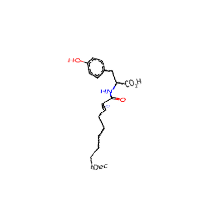 CCCCCCCCCCCCCCC/C=C/C(=O)NC(Cc1ccc(O)cc1)C(=O)O